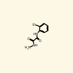 CCc1ccccc1NC(=O)C(=O)NN